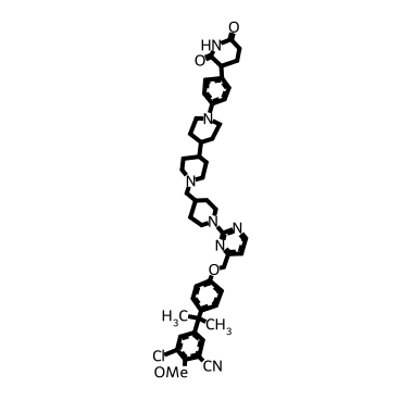 COc1c(Cl)cc(C(C)(C)c2ccc(OCc3ccnc(N4CCC(CN5CCC(C6CCN(c7ccc(C8CCC(=O)NC8=O)cc7)CC6)CC5)CC4)n3)cc2)cc1C#N